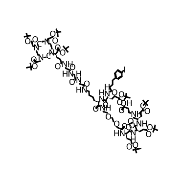 CC(C)(C)OC(=O)CC[C@@H](NC(=O)CCCc1ccc(I)cc1)C(=O)N[C@H](CCCCNC(=O)CNC(=O)CNC(=O)CNC(=O)CC[C@H](C(=O)OC(C)(C)C)N1CCN(CC(=O)OC(C)(C)C)CCN(CC(=O)OC(C)(C)C)CCN(CC(=O)OC(C)(C)C)CC1)C(=O)NCCOCCOCC(=O)N[C@H](CCC(=O)OC(C)(C)C)C(=O)N[C@H](CCC(=O)OC(C)(C)C)C(=O)N[C@H](CCC(=O)OC(C)(C)C)C(=O)NCCC(=O)O